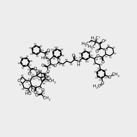 CCC(C)(C)C(=O)C(=O)N1CCCCC1C(=O)OC(CCc1ccc(OC)c(OC)c1)c1cccc(NC(=O)CCCC(=O)O[C@@H](C(=O)O[C@H]2CC3(O)[C@@H](OC(=O)c4ccccc4)C4C5COC5CC(O)C4(C)C(=O)C(OC(C)=O)C(=C2C)C3(C)C)[C@@H](NC(=O)c2ccccc2)c2ccccc2)c1